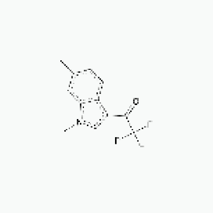 Cc1ccc2c(C(=O)C(F)(F)F)cn(C)c2c1